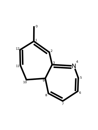 CC1=CC2=NC=CC=CC2CC=C1